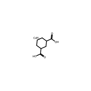 O=C(O)C1CCCC(C(=O)O)C1.[CaH2]